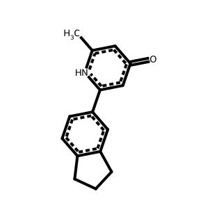 Cc1cc(=O)cc(-c2ccc3c(c2)CCC3)[nH]1